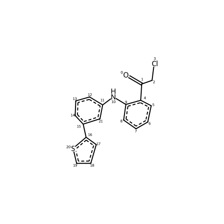 O=C(CCl)c1ccccc1Nc1cccc(-c2cccs2)c1